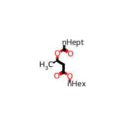 CCCCCCCC(=O)O[C@H](C)CC(=O)OCCCCCC